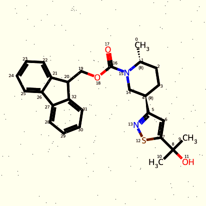 C[C@@H]1CC[C@@H](c2cc(C(C)(C)O)sn2)CN1C(=O)OCC1c2ccccc2-c2ccccc21